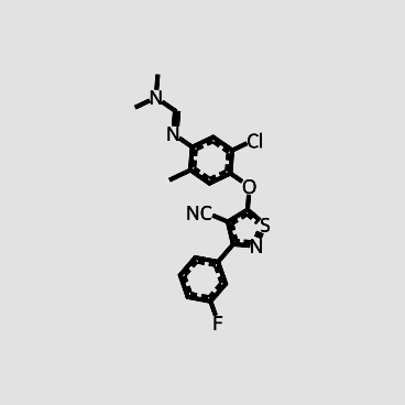 Cc1cc(Oc2snc(-c3cccc(F)c3)c2C#N)c(Cl)cc1N=CN(C)C